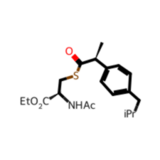 CCOC(=O)[C@@H](CSC(=O)[C@@H](C)c1ccc(CC(C)C)cc1)NC(C)=O